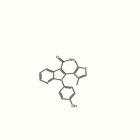 Cc1csc(C)c1-c1c(C(N)=O)c2cccnc2n1-c1ccc(O)cc1